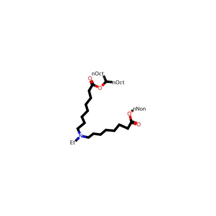 [CH2]CN(CCCCCCCC(=O)OCCCCCCCCC)CCCCCCCC(=O)OC(CCCCCCCC)CCCCCCCC